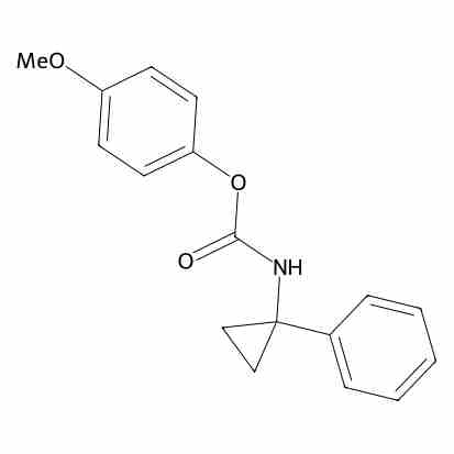 COc1ccc(OC(=O)NC2(c3ccccc3)CC2)cc1